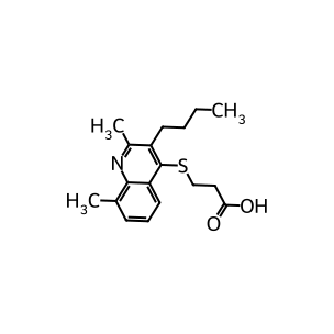 CCCCc1c(C)nc2c(C)cccc2c1SCCC(=O)O